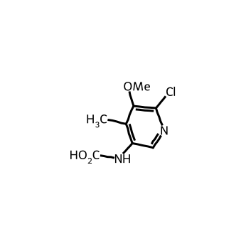 COc1c(Cl)ncc(NC(=O)O)c1C